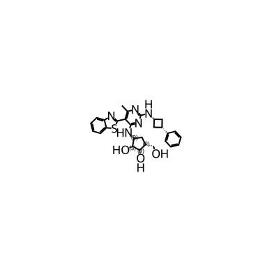 Cc1nc(N[C@H]2C[C@@H](c3ccccc3)C2)nc(N[C@@H]2C[C@H](CO)[C@@H](O)[C@H]2O)c1-c1nc2ccccc2s1